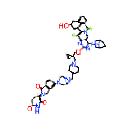 O=C1CC[C@H](N2Cc3cc(N4CCN(CC5CCN(CC6(COc7nc(N8CC9CCC(C8)N9)c8cnc(-c9cc(O)cc%10cccc(C(F)F)c9%10)c(F)c8n7)CC6)CC5)CC4)ccc3C2=O)C(=O)N1